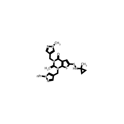 C=C1N(Cc2cnn(C)c2)C(=O)c2cc(SNC3(C)CC3)sc2N1Cc1cnn(CCC)c1